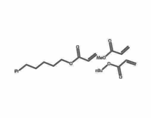 C=CC(=O)OC.C=CC(=O)OCCCC.C=CC(=O)OCCCCCC(C)C